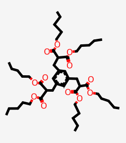 CCCCCOC(=O)C(Cc1[c]c(CC(C(=O)OCCCCC)C(=O)OCCCCC)cc(CC(C(=O)OCCCCC)C(=O)OCCCCC)c1)C(=O)OCCCCC